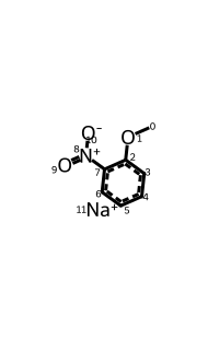 COc1ccccc1[N+](=O)[O-].[Na+]